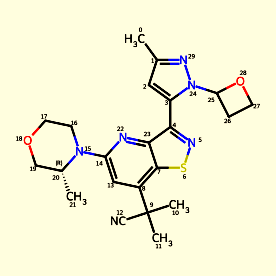 Cc1cc(-c2nsc3c(C(C)(C)C#N)cc(N4CCOC[C@H]4C)nc23)n(C2CCO2)n1